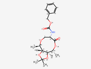 C[C@H]1OC[C@H](NC(=O)OCc2ccccc2)C(=O)O[C@H](C)[C@H]2OC(C)(C)O[C@@H]21